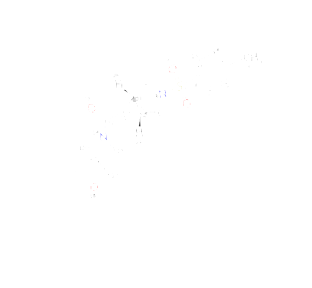 Cc1ccc(S(=O)(=O)N2C[C@@H]3C(C(=O)N4CC5(COC5)C4)[C@@H]3C2)cc1